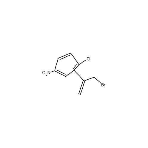 C=C(CBr)c1cc([N+](=O)[O-])ccc1Cl